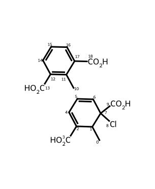 CC1C(C(=O)O)=CC=CC1(Cl)C(=O)O.Cc1c(C(=O)O)cccc1C(=O)O